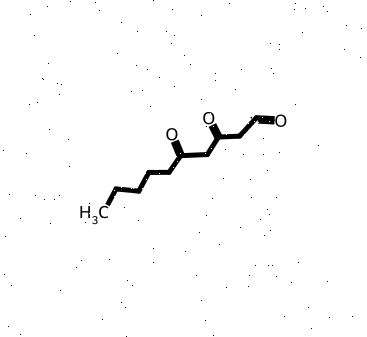 CCCCCC(=O)CC(=O)C[C]=O